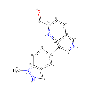 Cn1ncc2cc(-c3cncc4ccc(C=O)nc34)ccc21